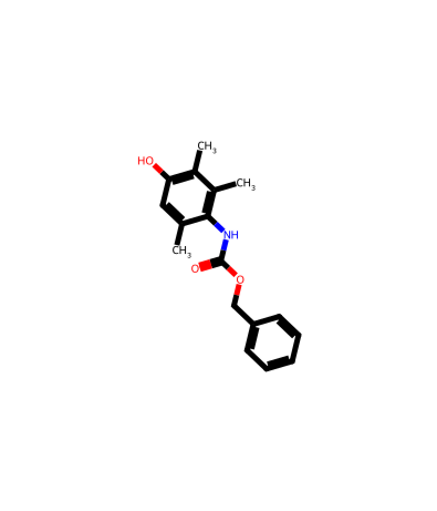 Cc1cc(O)c(C)c(C)c1NC(=O)OCc1ccccc1